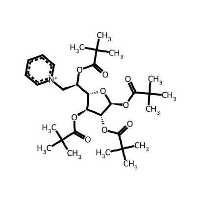 CC(C)(C)C(=O)O[C@@H]1O[C@@H]([C@@H](C[n+]2ccccc2)OC(=O)C(C)(C)C)[C@H](OC(=O)C(C)(C)C)[C@H]1OC(=O)C(C)(C)C